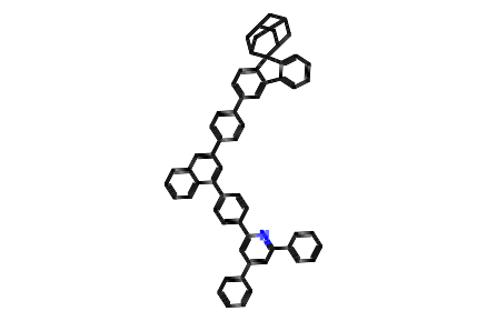 c1ccc(-c2cc(-c3ccccc3)nc(-c3ccc(-c4cc(-c5ccc(-c6ccc7c(c6)-c6ccccc6C76C7CC8CC(C7)CC6C8)cc5)cc5ccccc45)cc3)c2)cc1